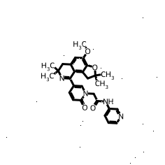 COc1cc2c(c3c1OC(C)(C)C3)C(c1ccc(=O)n(CC(=O)Nc3cccnc3)c1)=NC(C)(C)C2